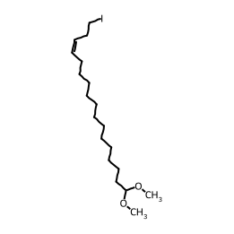 COC(CCCCCCCCCCCC/C=C\CCI)OC